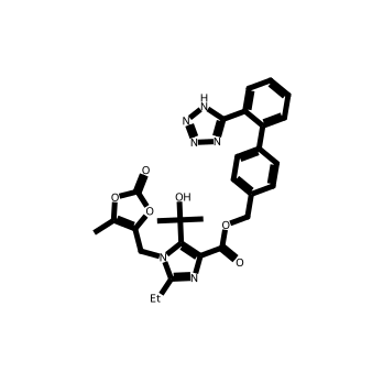 CCc1nc(C(=O)OCc2ccc(-c3ccccc3-c3nnn[nH]3)cc2)c(C(C)(C)O)n1Cc1oc(=O)oc1C